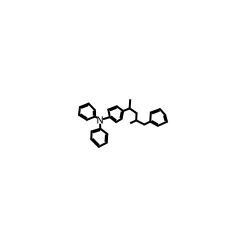 CC(Cc1ccccc1)CC(C)c1ccc(N(c2ccccc2)c2ccccc2)cc1